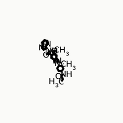 CCC(=O)N[C@@H]1CC[C@@H](n2cc3cc(C(=O)Nc4cnn5cccnc45)c(OC)cc3n2)[C@H](C)C1